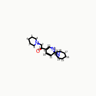 O=C(CN1CCCCC1)c1ccc(N2C3C[CH]CC2CC3)nc1